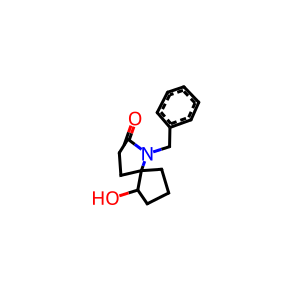 O=C1CCC2(CCCC2O)N1Cc1ccccc1